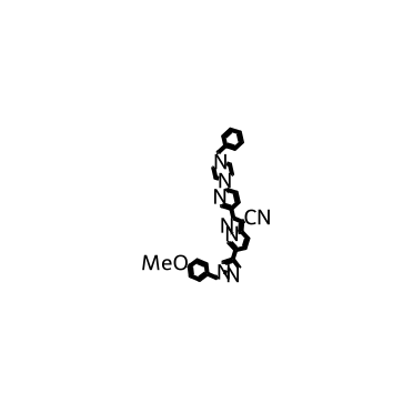 COc1ccc(Cn2cc(-c3ccc4c(C#N)c(-c5ccc(N6CCN(Cc7ccccc7)CC6)nc5)nn4c3)cn2)cc1